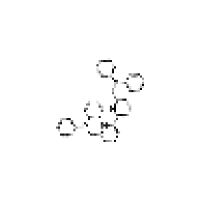 c1ccc(P(Cc2cccc(-c3cccc(CP(c4ccccc4)c4ccccc4)n3)n2)c2ccccc2)cc1